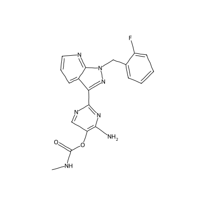 CNC(=O)Oc1cnc(-c2nn(Cc3ccccc3F)c3ncccc23)nc1N